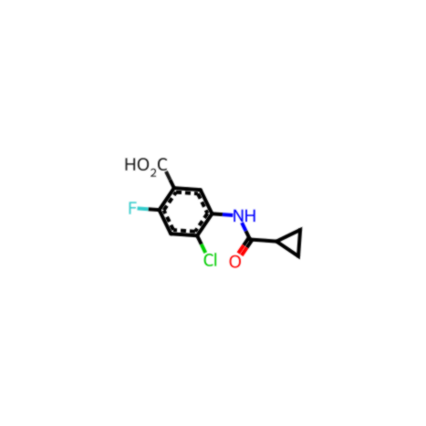 O=C(O)c1cc(NC(=O)C2CC2)c(Cl)cc1F